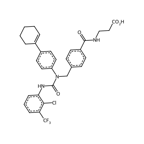 O=C(O)CCNC(=O)c1ccc(CN(C(=O)Nc2cccc(C(F)(F)F)c2Cl)c2ccc(C3=CCCCC3)cc2)cc1